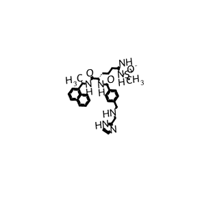 C[C@H](NC(=O)[C@H](CCCC(=N)N[S+](C)[O-])NC(=O)c1ccc(CNCc2ncc[nH]2)cc1)c1cccc2ccccc12